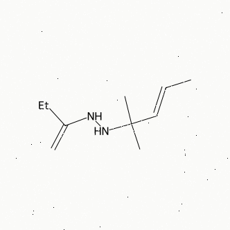 C=C(CC)NNC(C)(C)C=CC